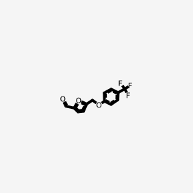 O=Cc1ccc(COc2ccc(C(F)(F)F)cc2)o1